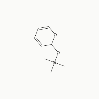 C[Si](C)(C)OC1C=CC=CO1